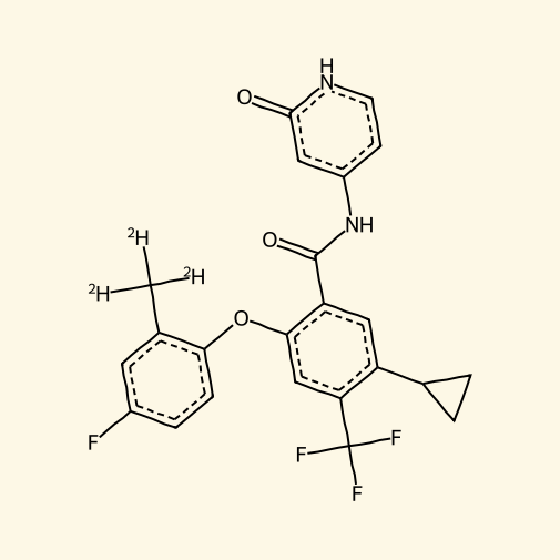 [2H]C([2H])([2H])c1cc(F)ccc1Oc1cc(C(F)(F)F)c(C2CC2)cc1C(=O)Nc1cc[nH]c(=O)c1